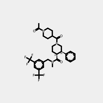 CC(=O)N1CCC(C(=O)N2CC[C@H](C(=O)N(C)Cc3cc(C(F)(F)F)cc(C(F)(F)F)c3)[C@H](c3ccccc3)C2)CC1